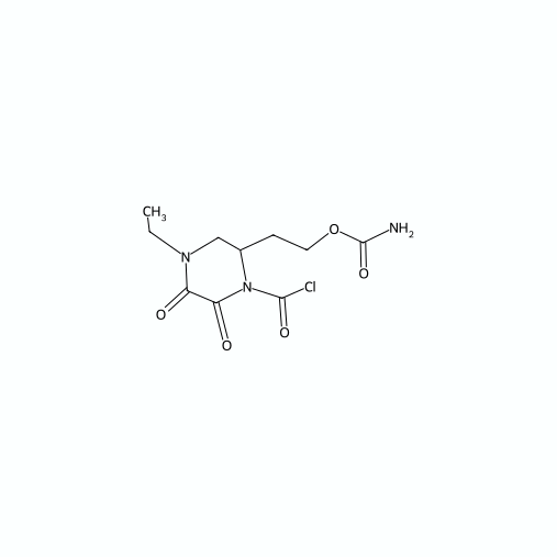 CCN1CC(CCOC(N)=O)N(C(=O)Cl)C(=O)C1=O